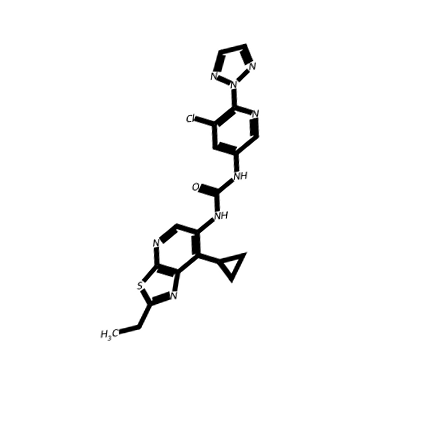 CCc1nc2c(C3CC3)c(NC(=O)Nc3cnc(-n4nccn4)c(Cl)c3)cnc2s1